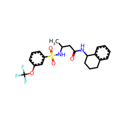 CC(CC(=O)NC1CCCc2ccccc21)NS(=O)(=O)c1cccc(OC(F)(F)F)c1